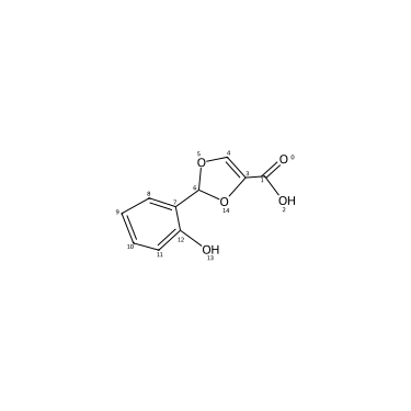 O=C(O)C1=COC(c2ccccc2O)O1